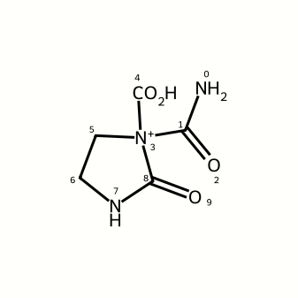 NC(=O)[N+]1(C(=O)O)CCNC1=O